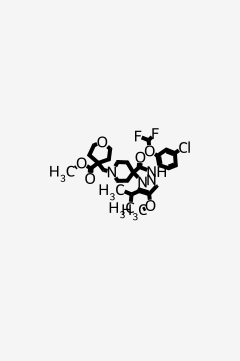 COC(=O)C1(CN2CCC(C(=O)Nc3ccc(Cl)cc3OC(F)F)(n3ncc(OC)c3C(C)C)CC2)CCOCC1